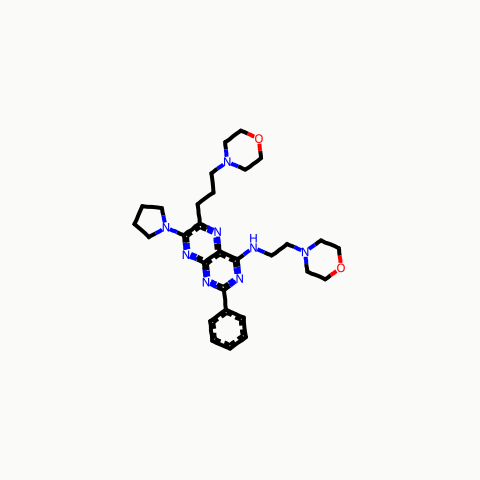 c1ccc(-c2nc(NCCN3CCOCC3)c3nc(CCCN4CCOCC4)c(N4CCCC4)nc3n2)cc1